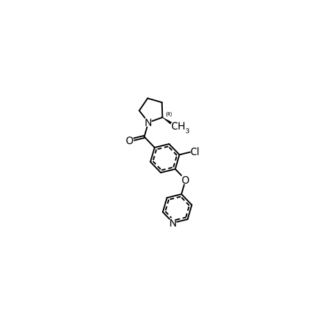 C[C@@H]1CCCN1C(=O)c1ccc(Oc2ccncc2)c(Cl)c1